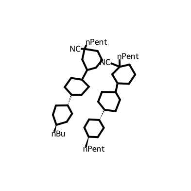 CCCCCC1(C#N)CCCC(C2CCC([C@H]3CC[C@H](CCCC)CC3)CC2)C1.CCCCCC1(C#N)CCCC(C2CCC([C@H]3CC[C@H](CCCCC)CC3)CC2)C1